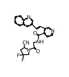 N#CC1CC(F)(F)CN1C(=O)CNC(=O)c1ccncc1/C=C/c1cnc2ccccc2c1